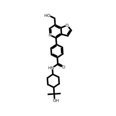 CC(C)(O)C1CCC(NC(=O)c2ccc(-c3ncc(CO)c4occc34)cc2)CC1